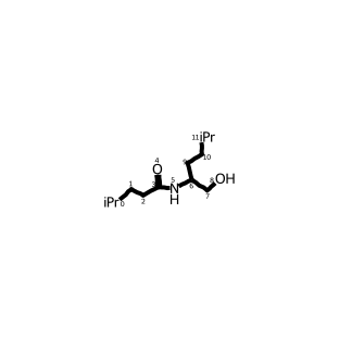 CC(C)CCC(=O)NC(CO)CCC(C)C